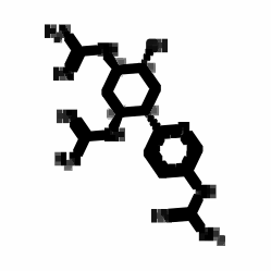 N=C(N)Nc1ccc([C@H]2C[C@@H](O)[C@H](NC(=N)N)C[C@@H]2NC(=N)N)nc1